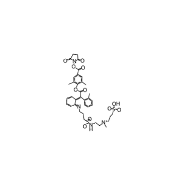 Cc1ccccc1/C(C(=O)Oc1c(C)cc(C(=O)ON2C(=O)CCC2=O)cc1C)=C1/C=CC=C/C1=N\CCCS(=O)(=O)NCC[N+](C)(C)CCCS(=O)(=O)O